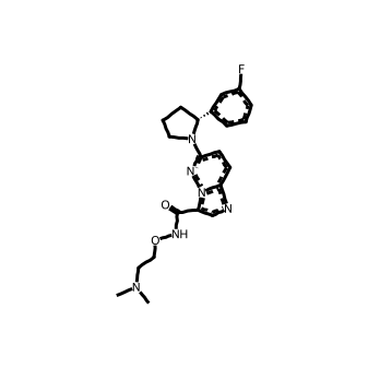 CN(C)CCONC(=O)c1cnc2ccc(N3CCC[C@@H]3c3cccc(F)c3)nn12